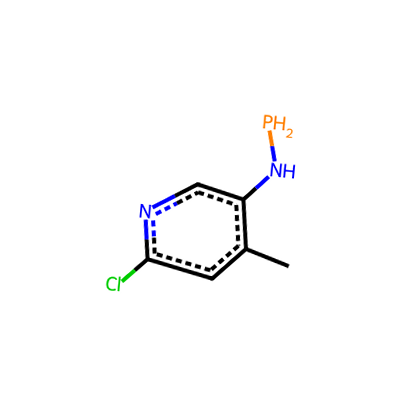 Cc1cc(Cl)ncc1NP